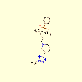 Cn1nnc(C2CCCN(CCCC(C)(C)S(=O)(=O)c3ccccc3)C2)n1